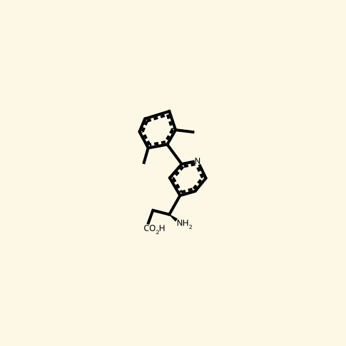 Cc1cccc(C)c1-c1cc([C@@H](N)CC(=O)O)ccn1